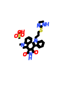 CS(=O)(=O)O.Cn1cc(C2=C(c3cn(CCCSC4=NCCN4)c4ccccc34)C(=O)NC2=O)c2ccccc21